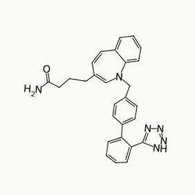 NC(=O)CCCC1=CN(Cc2ccc(-c3ccccc3-c3nnn[nH]3)cc2)c2ccccc2C=C1